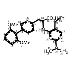 COc1cccc(OC)c1-c1ccc(C[C@H](Nc2nc(N(C)C)ncc2CC(C)C)C(=O)O)nc1